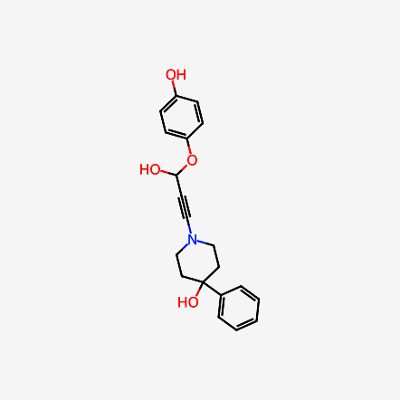 Oc1ccc(OC(O)C#CN2CCC(O)(c3ccccc3)CC2)cc1